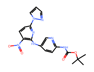 CC(C)(C)OC(=O)Nc1ccc(Nc2nc(-n3cccn3)ccc2[N+](=O)[O-])cn1